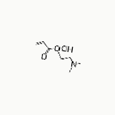 C=CC(=O)OCCN(C)C.Cl